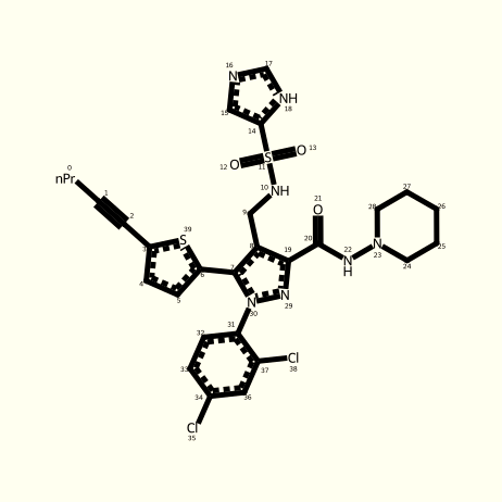 CCCC#Cc1ccc(-c2c(CNS(=O)(=O)c3cnc[nH]3)c(C(=O)NN3CCCCC3)nn2-c2ccc(Cl)cc2Cl)s1